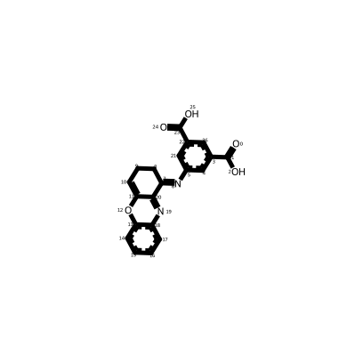 O=C(O)c1cc(N=C2CCC=C3Oc4ccccc4N=C32)cc(C(=O)O)c1